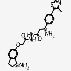 Cc1ncsc1-c1ccc([C@@H](N)CC(=O)NNC(=O)COc2ccc3c(c2)[C@H](N)CC3)cc1